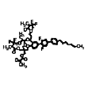 C=C(C(=O)OCCCc1cc(-c2c(F)cc(-c3ccc(CCCCCCC)cc3)cc2F)ccc1OCC(COC(=O)C(=C)C(F)(F)F)(COC(=O)C(C)=O)COC(=O)C(C)=O)C(F)(F)F